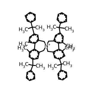 Cc1cc(C(C)(C)c2ccccc2)cc2c1-c1c(C)cc(C(C)(C)c3ccccc3)cc1C[N+]1(C2)Cc2cc(C(C)(C)c3ccccc3)cc(C)c2-c2c(C)cc(C(C)(C)c3ccccc3)cc2C1